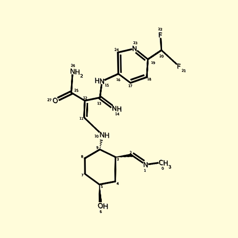 CN=C[C@H]1C[C@@H](O)CC[C@@H]1N/C=C(\C(=N)Nc1ccc(C(F)F)nc1)C(N)=O